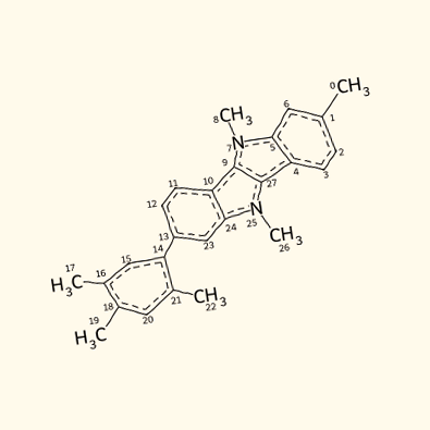 Cc1ccc2c(c1)n(C)c1c3ccc(-c4cc(C)c(C)cc4C)cc3n(C)c21